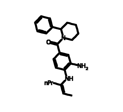 C/C=C(/CCC)Nc1ccc(C(=O)N2CCCCC2c2ccccc2)cc1N